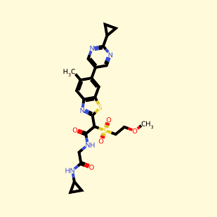 COCCS(=O)(=O)C(C(=O)NCC(=O)NC1CC1)c1nc2cc(C)c(-c3cnc(C4CC4)nc3)cc2s1